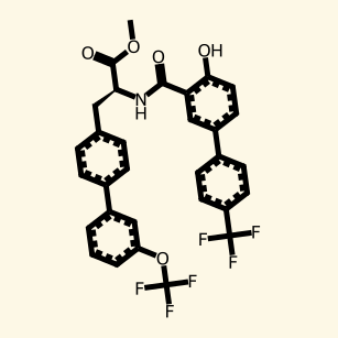 COC(=O)[C@H](Cc1ccc(-c2cccc(OC(F)(F)F)c2)cc1)NC(=O)c1cc(-c2ccc(C(F)(F)F)cc2)ccc1O